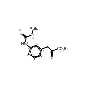 C=C(Cc1ccnc(NC(=O)OC(C)(C)C)c1)C(=O)OCC